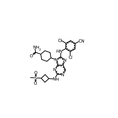 CS(=O)(=O)C1CC(Nc2ncc3nc(Nc4c(Cl)cc(C#N)cc4Cl)n(C4CCC(C(N)=O)CC4)c3n2)C1